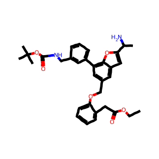 CCOC(=O)Cc1ccccc1OCc1cc(-c2cccc(CNC(=O)OC(C)(C)C)c2)c2oc(C(C)N)cc2c1